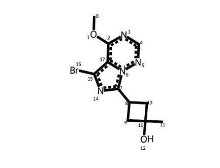 COc1ncnn2c(C3CC(C)(O)C3)nc(Br)c12